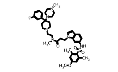 COc1cc(C)c(S(=O)(=O)Nc2ccc3ccn(CCC(=O)N(C)CCN4CCC(c5cccc(F)c5)(N5CCN(C)CC5)CC4)c3c2)c(C)c1